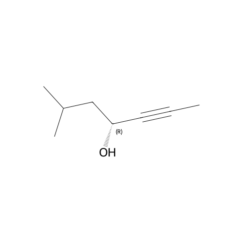 CC#C[C@H](O)CC(C)C